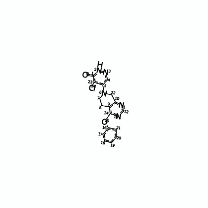 O=c1[nH]ncc(N2CCc3c(ncnc3Oc3ccccc3)C2)c1Cl